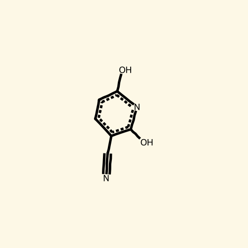 N#Cc1ccc(O)nc1O